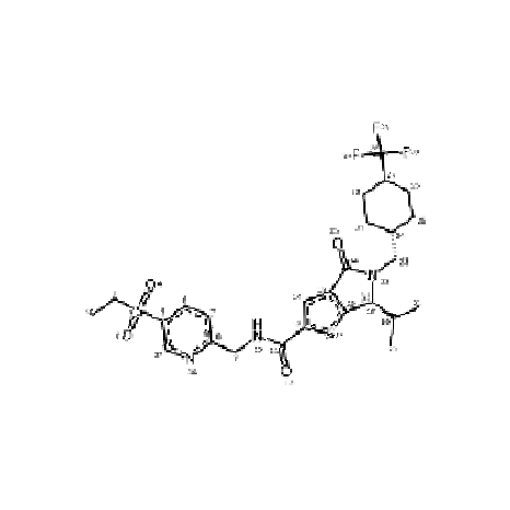 CCS(=O)(=O)c1ccc(CNC(=O)c2cc3c(s2)[C@H](C(C)C)N(C[C@H]2CC[C@H](C(F)(F)F)CC2)C3=O)nc1